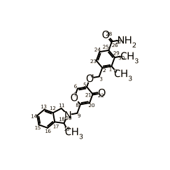 Cc1c(COc2coc(CN3Cc4ccccc4C3C)cc2=O)ccc(C(N)=O)c1C